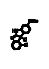 COc1ccc2c(c1)NC(=O)C2(Cl)c1ccccc1Cl